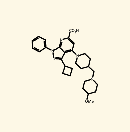 COC1CCN(CC2CCN(c3cc(C(=O)O)nc4c3c(C3CCC3)nn4-c3ccccc3)CC2)CC1